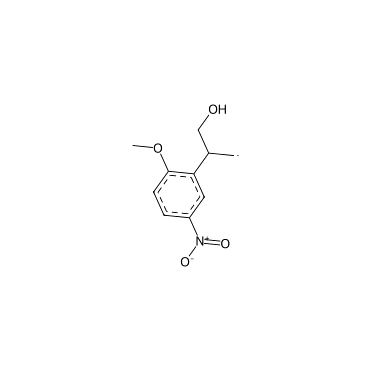 [CH2]C(CO)c1cc([N+](=O)[O-])ccc1OC